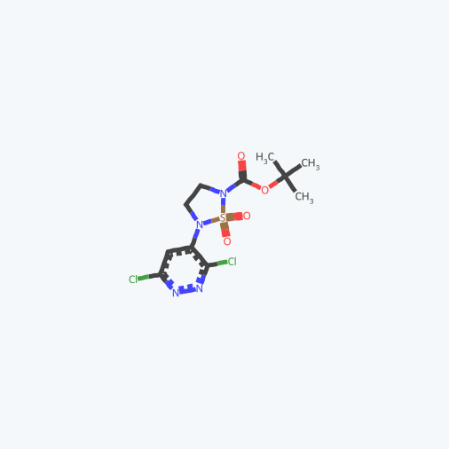 CC(C)(C)OC(=O)N1CCN(c2cc(Cl)nnc2Cl)S1(=O)=O